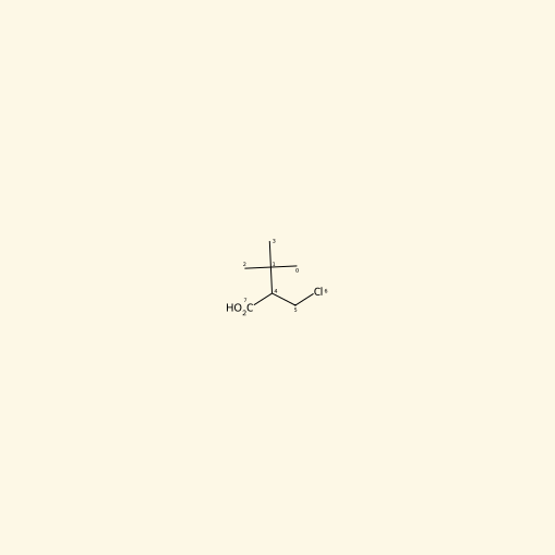 CC(C)(C)C(CCl)C(=O)O